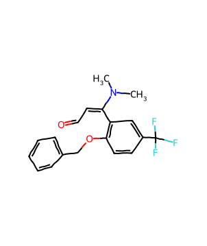 CN(C)/C(=C/C=O)c1cc(C(F)(F)F)ccc1OCc1ccccc1